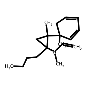 C=CN(C)C1(CCCC)CC1(C)C1(C)C=CC=CC1